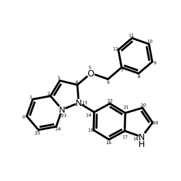 C1=CC2=CC(OCc3ccccc3)N(c3ccc4[nH]ccc4c3)N2C=C1